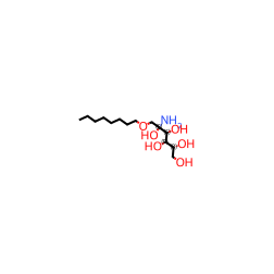 CCCCCCCCOC[C@](N)(O)[C@@H](O)[C@H](O)[C@H](O)CO